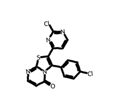 O=c1ccnc2sc(-c3ccnc(Cl)n3)c(-c3ccc(Cl)cc3)n12